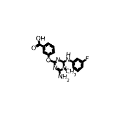 CN1C(N)=NC(Oc2cccc(C(=O)O)c2)=NC1Nc1cccc(F)c1